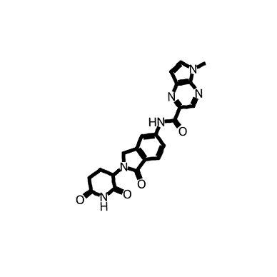 Cn1ccc2nc(C(=O)Nc3ccc4c(c3)CN(C3CCC(=O)NC3=O)C4=O)cnc21